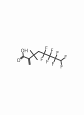 C=C(C(=O)O)C(C)(C)CC(F)(F)C(F)(F)C(F)(F)C(F)F